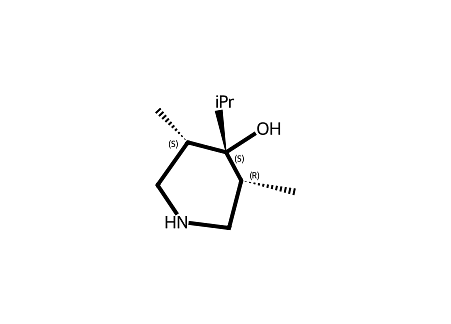 CC(C)[C@@]1(O)[C@H](C)CNC[C@@H]1C